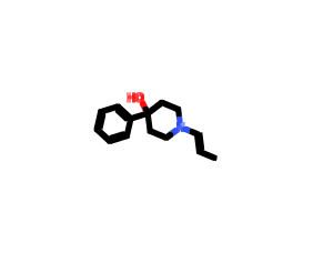 CC=CN1CCC(O)(c2ccccc2)CC1